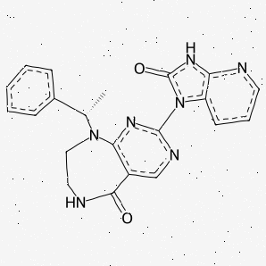 C[C@@H](c1ccccc1)N1CCNC(=O)c2cnc(-n3c(=O)[nH]c4ncccc43)nc21